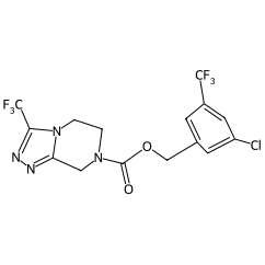 O=C(OCc1cc(Cl)cc(C(F)(F)F)c1)N1CCn2c(nnc2C(F)(F)F)C1